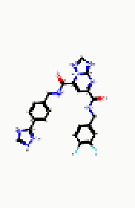 O=C(NCc1ccc(F)c(F)c1)c1cc(C(=O)NCc2ccc(-c3nnc[nH]3)cc2)n2ncnc2n1